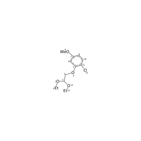 CCOC(COc1cc(OC)ccc1Cl)OCC